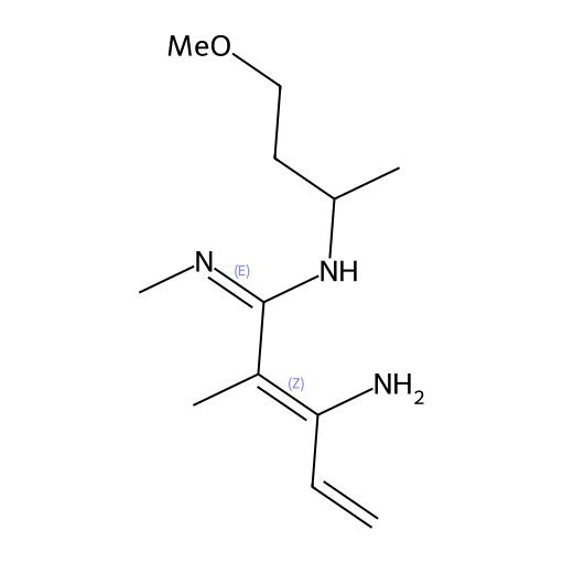 C=C/C(N)=C(C)/C(=N\C)NC(C)CCOC